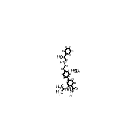 CC(C)Nc1cc(-c2ccc(CCNC[C@H](O)c3ccccc3)cc2)ccc1C(=O)O.Cl.Cl